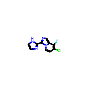 Fc1c(Cl)ccn2c(-c3ncc[nH]3)ncc12